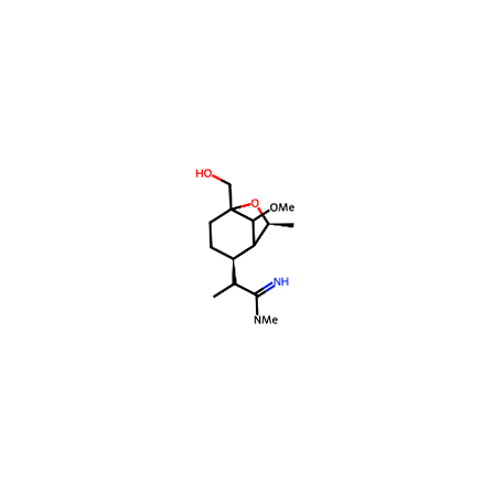 CNC(=N)C(C)[C@H]1CCC2(CO)O[C@@H](C)C1C2OC